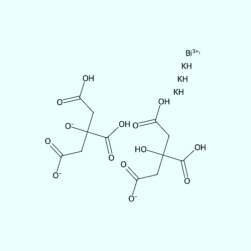 O=C([O-])CC(O)(CC(=O)O)C(=O)O.O=C([O-])CC([O-])(CC(=O)O)C(=O)O.[Bi+3].[KH].[KH].[KH]